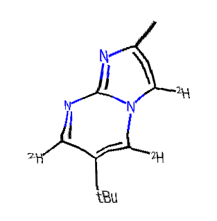 [2H]c1nc2nc(C)c([2H])n2c([2H])c1C(C)(C)C